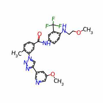 COCCNc1ccc(NC(=O)c2ccc(C)c(-n3cc(-c4cncc(OC)c4)nn3)c2)cc1C(F)(F)F